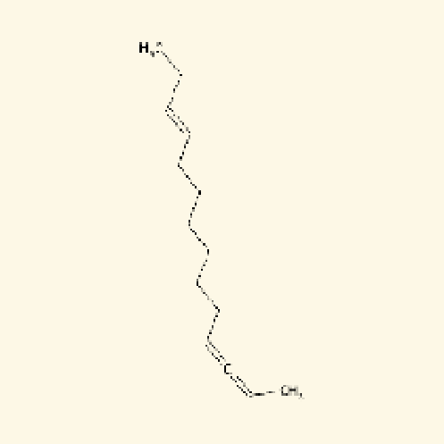 CC=C=CCCCCCCC=CCC